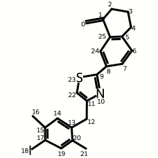 C=C1CCCc2ccc(-c3nc(Cc4cc(C)c(I)cc4C)cs3)cc21